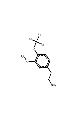 [2H]C([2H])([2H])Oc1ccc(CCN)cc1OC